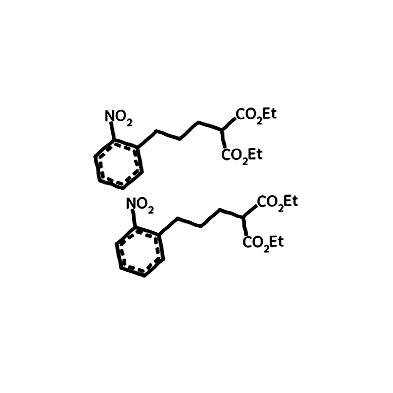 CCOC(=O)C(CCCc1ccccc1[N+](=O)[O-])C(=O)OCC.CCOC(=O)C(CCCc1ccccc1[N+](=O)[O-])C(=O)OCC